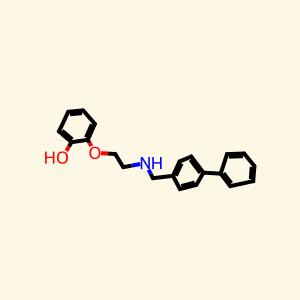 Oc1ccccc1OCCNCc1ccc(-c2ccccc2)cc1